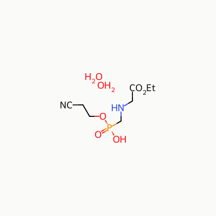 CCOC(=O)CNCP(=O)(O)OCCC#N.O.O